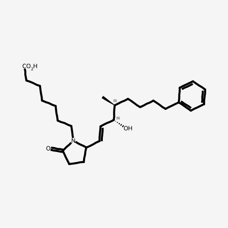 C[C@@H](CCCCc1ccccc1)[C@H](O)C=CC1CCC(=O)N1CCCCCCC(=O)O